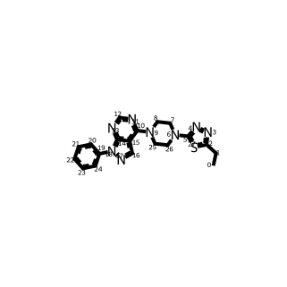 CCc1nnc(N2CCN(c3ncnc4c3cnn4-c3ccccc3)CC2)s1